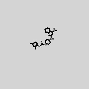 Cc1ccc(NC(=S)NC2CCC(Nc3cc(N(C)C)c4ccccc4n3)CC2)c(C)c1